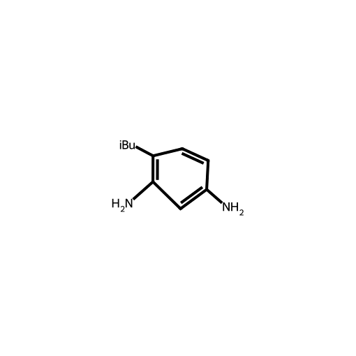 CCC(C)c1ccc(N)cc1N